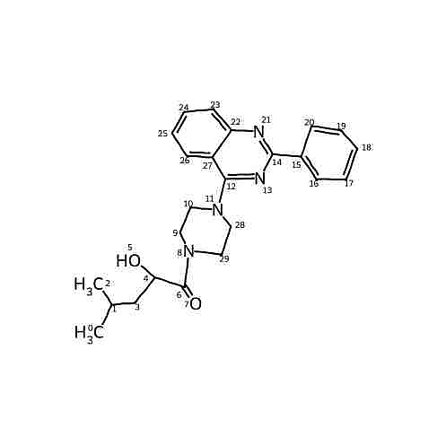 CC(C)CC(O)C(=O)N1CCN(c2nc(-c3ccccc3)nc3ccccc23)CC1